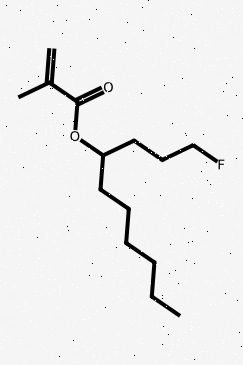 C=C(C)C(=O)OC(CCCF)CCCCCC